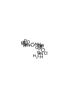 CC(=O)Nc1cc(S(=O)(=O)NC(=O)Nc2ccc(NC(=O)N[SH](=O)=O)cc2)ccc1Cl